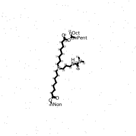 CCCCCCCCCOC(=O)CCCCCCCN(CCCCCCCC(=O)OC(CCCCC)CCCCCCCC)CCCNC(=S)N(C)C